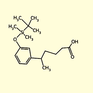 CC(CCCC(=O)O)c1cccc(O[Si](C)(C)C(C)(C)C)c1